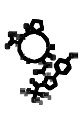 CC(C)(C)C(=O)N1CC[C@H](c2ccc(O)cc2)[C@H]1C(=O)N[C@H]1CSSC[C@@H](C(=O)O)NC(=O)C2(CCCC2)CCNC1=O